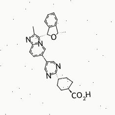 Cc1nc2ccc(-c3cnc([C@H]4CC[C@H](C(=O)O)CC4)nc3)cn2c1[C@H]1O[C@@H](C)c2ccccc21